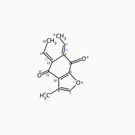 C/C=C1/C(=O)c2occ(C)c2C(=O)/C1=C/C